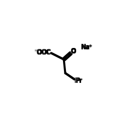 CC(C)CC(=O)[13C](=O)[O-].[Na+]